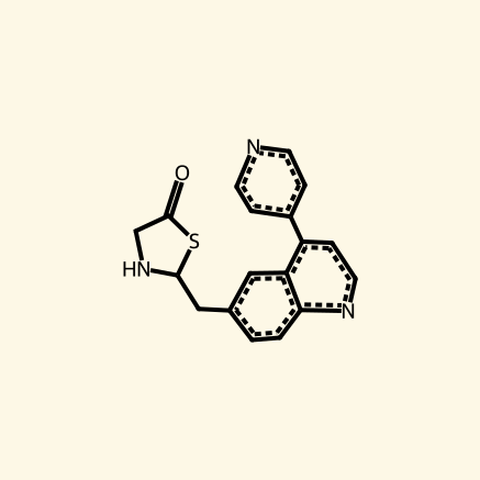 O=C1CNC(Cc2ccc3nccc(-c4ccncc4)c3c2)S1